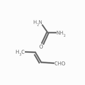 CC=CC=O.NC(N)=O